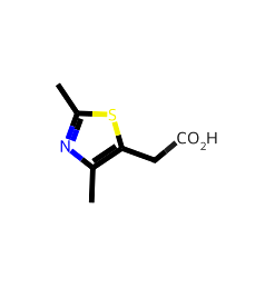 Cc1nc(C)c(CC(=O)O)s1